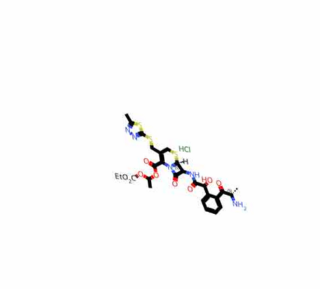 CCOC(=O)OC(C)OC(=O)C1=C(CSc2nnc(C)s2)CS[C@H]2C(NC(=O)C(O)c3ccccc3C(=O)[C@H](C)N)C(=O)N12.Cl